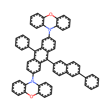 c1ccc(-c2ccc3cc(-c4c5ccc(N6c7ccccc7Oc7ccccc76)cc5c(-c5ccccc5)c5ccc(N6c7ccccc7Oc7ccccc76)cc45)ccc3c2)cc1